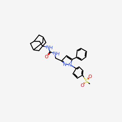 CS(=O)(=O)c1ccc(-n2nc(CNC(=O)NC34CC5CC(CC(C5)C3)C4)cc2-c2ccccc2)cc1